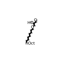 CCCCCCCCCCCCCCCCOCC(O)C[O]